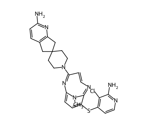 CN1C2=CC=C(Sc3ccnc(N)c3Cl)/C1=N/C=C/C(N1CCC3(CC1)Cc1ccc(N)nc1C3)=N\2